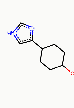 OC1CCC(c2c[nH]cn2)CC1